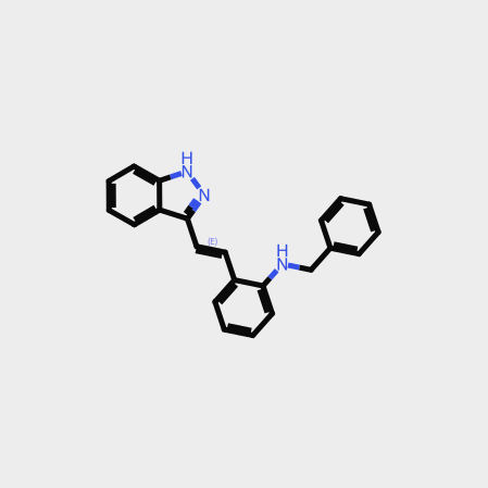 C(=C\c1n[nH]c2ccccc12)/c1ccccc1NCc1ccccc1